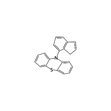 C1=Cc2cccc(N3c4ccccc4Sc4ccccc43)c2C1